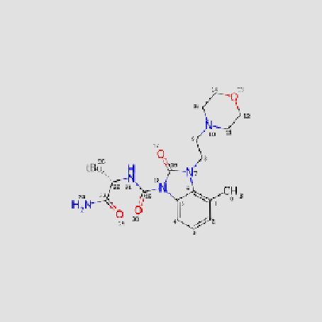 Cc1cccc2c1n(CCN1CCOCC1)c(=O)n2C(=O)N[C@H](C(N)=O)C(C)(C)C